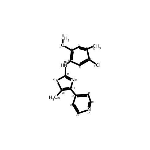 COc1cc(C)c(Cl)cc1Nc1nc(-c2ccncc2)c(C)s1